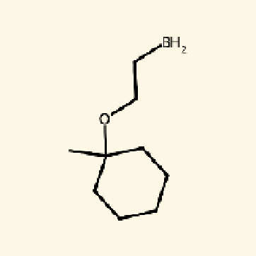 BCCOC1(C)CCCCC1